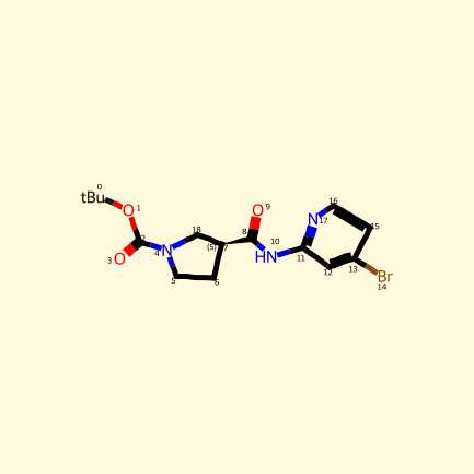 CC(C)(C)OC(=O)N1CC[C@H](C(=O)Nc2cc(Br)ccn2)C1